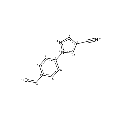 N#Cc1cnn(-c2ccc(C=O)cc2)c1